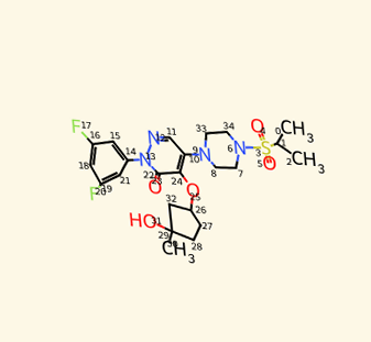 CC(C)S(=O)(=O)N1CCN(c2cnn(-c3cc(F)cc(F)c3)c(=O)c2OC2CCC(C)(O)C2)CC1